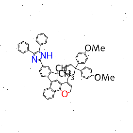 COc1ccc(C2(c3ccc(OC)cc3)C=CC=C(C3=CCOc4c3c3c(c5ccccc45)-c4ccc(-c5nc(-c6ccccc6)c(-c6ccccc6)[nH]5)cc4C3(C)C)C2)cc1